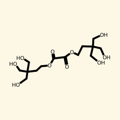 O=C(OCCC(CO)(CO)CO)C(=O)OCCC(CO)(CO)CO